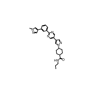 CCCNC(=O)C1CCC(n2cc(-c3cnc(-c4cccc(-c5cnn(C)c5)c4)nc3)cn2)CC1